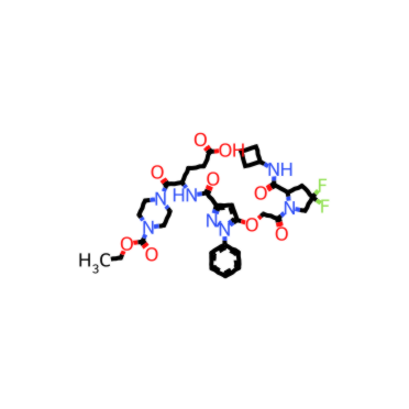 CCOC(=O)N1CCN(C(=O)C(CCC(=O)O)NC(=O)c2cc(OCC(=O)N3CC(F)(F)CC3C(=O)NC3CCC3)n(-c3ccccc3)n2)CC1